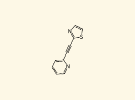 C(#Cc1nccs1)c1ccccn1